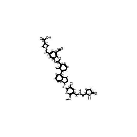 COc1nc(O[C@H]2CCc3c(-c4cccc(-c5nc6cc(CN7CC(C(=O)O)C7)cc(C#N)c6o5)c4C)cccc32)c(Cl)cc1CNCC1CCC(=O)N1